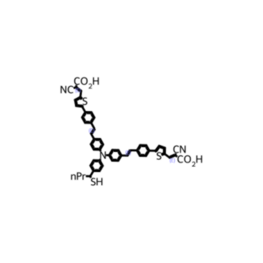 CCCC(S)c1ccc(N(c2ccc(/C=C/c3ccc(-c4ccc(/C=C(\C#N)C(=O)O)s4)cc3)cc2)c2ccc(/C=C/c3ccc(-c4ccc(/C=C(\C#N)C(=O)O)s4)cc3)cc2)cc1